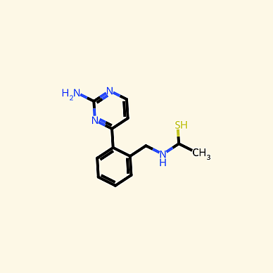 CC(S)NCc1ccccc1-c1ccnc(N)n1